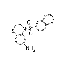 Nc1ccc2c(c1)N(S(=O)(=O)c1ccc3ccccc3c1)CCS2